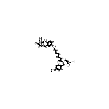 O=C(O)CN(Cc1ccc(Cl)cc1)C(=O)CCCCCCOc1ccc2c(c1)CN1CC(=O)NC1=N2